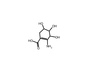 NC1=C(C(=O)O)CC(O)C(O)C1O